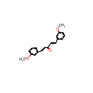 COc1cccc(/C=C/C(=O)/C=C/c2cccc(OC)c2)c1